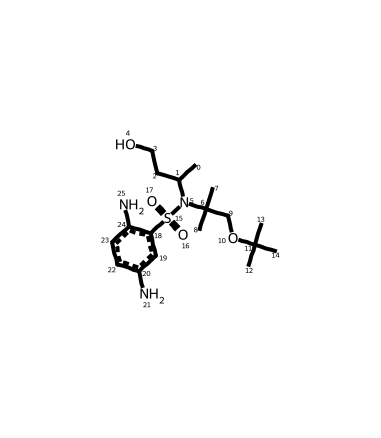 CC(CCO)N(C(C)(C)COC(C)(C)C)S(=O)(=O)c1cc(N)ccc1N